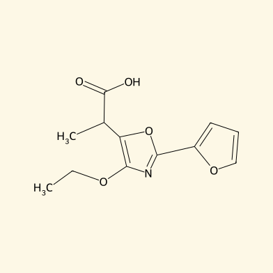 CCOc1nc(-c2ccco2)oc1C(C)C(=O)O